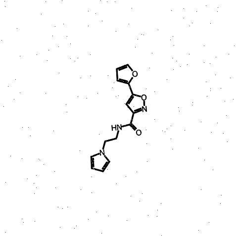 O=C(NCCn1cccc1)c1cc(-c2ccco2)on1